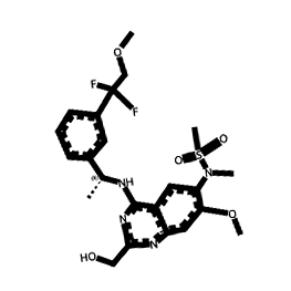 COCC(F)(F)c1cccc([C@@H](C)Nc2nc(CO)nc3cc(OC)c(N(C)S(C)(=O)=O)cc23)c1